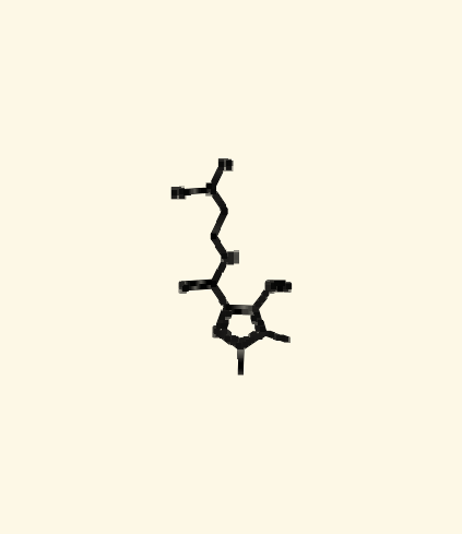 CCN(CC)CCNC(=S)c1sc(C)c(C)c1OC